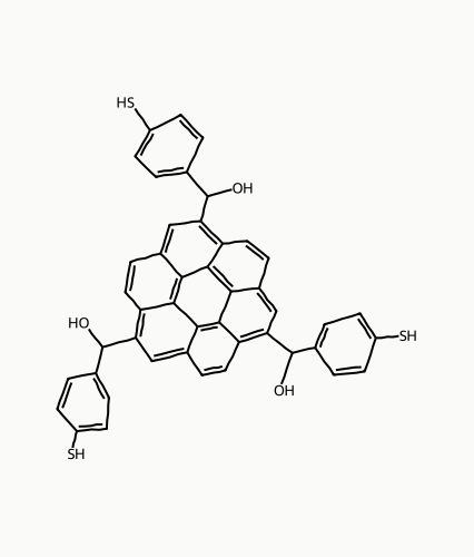 OC(c1ccc(S)cc1)c1cc2ccc3c(C(O)c4ccc(S)cc4)cc4ccc5c(C(O)c6ccc(S)cc6)cc6ccc1c1c6c5c4c3c21